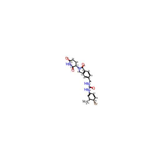 CC1C=C(NC(=O)NCc2ccc3c(c2)CN(C2CCC(=O)NC2=O)C3=O)C=CC1Br